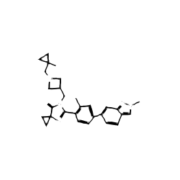 Cc1cc(-c2ccc3cn(C)nc3c2)ccc1C1=NC2(CC2)C(=O)N1CC1CN(CC2(C)CC2)C1